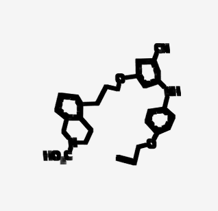 C=CCOc1ccc(Nc2cc(C#N)cc(OCCCc3cccc4c3CCN(C(=O)O)C4)c2)cc1